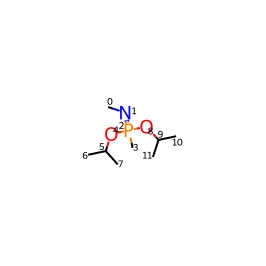 CN=P(C)(OC(C)C)OC(C)C